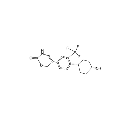 O=C1NN=C(c2ccc([C@H]3CC[C@@H](O)CC3)c(C(F)(F)F)c2)CO1